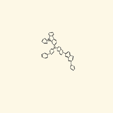 c1ccc(-c2ccc(N(c3ccc4cc(-c5ccc6ccc(-c7ccccc7)cc6c5)ccc4c3)c3ccc4c5ccccc5n(-c5ccccc5)c4c3)cc2)cc1